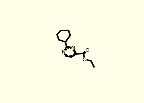 CCOC(=O)c1ccnc(C2CCCCC2)n1